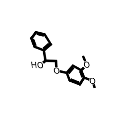 COc1ccc(OCC(O)c2ccccc2)cc1OC